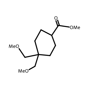 COCC1(COC)CCC(C(=O)OC)CC1